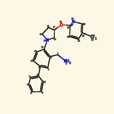 NCc1cc(-c2ccccc2)ccc1N1CCC(Oc2ccc(C(F)(F)F)cn2)C1